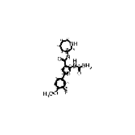 COc1ccc(-c2cc(C(=O)N[C@H]3CCCCNC3)c(NC(N)=O)s2)cc1F